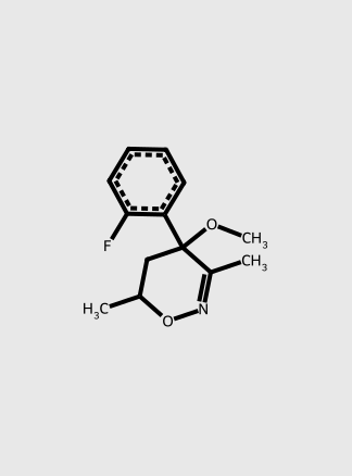 COC1(c2ccccc2F)CC(C)ON=C1C